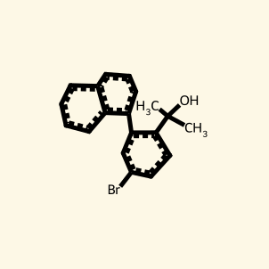 CC(C)(O)c1ccc(Br)cc1-c1cccc2ccccc12